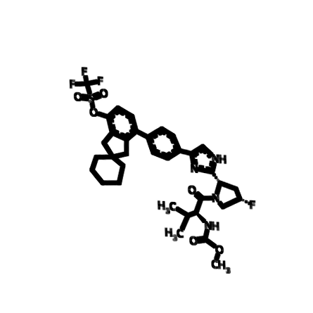 COC(=O)N[C@H](C(=O)N1C[C@@H](F)C[C@H]1c1nc(-c2ccc(-c3ccc(OS(=O)(=O)C(F)(F)F)c4c3CC3(CCCCC3)C4)cc2)c[nH]1)C(C)C